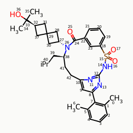 Cc1cccc(C)c1-c1cc2nc(n1)NS(=O)(=O)c1cccc(c1)C(=O)N([C@H]1CC3(C1)C[C@H](C(C)(C)O)C3)[C@H](CC(C)C)CC2